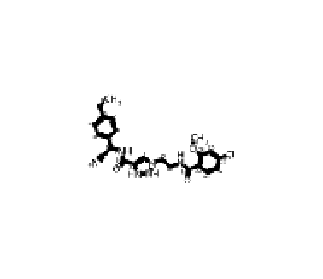 CCc1ccc(C(C#N)NC(=O)C2=CN(CCNC(=O)c3ccc(Cl)cc3OC)NN2)cc1